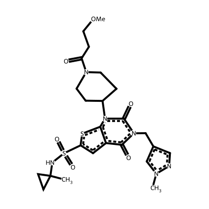 COCCC(=O)N1CCC(n2c(=O)n(Cc3cnn(C)c3)c(=O)c3cc(S(=O)(=O)NC4(C)CC4)sc32)CC1